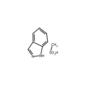 CS(=O)(=O)O.c1ccc2[nH]ncc2c1